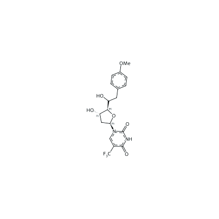 COc1ccc(CC(O)[C@H]2O[C@@H](n3cc(C(F)(F)F)c(=O)[nH]c3=O)C[C@@H]2O)cc1